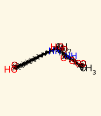 C=C(CCCCCCCCCCCCCCCCCCCCC(=O)O)N[C@@H](CCC(=O)NCCOCCOCC(C)=O)C(=O)O